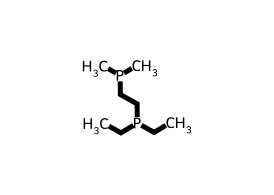 CCP(CC)CCP(C)C